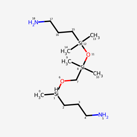 C[SiH](CCCN)OC[Si](C)(C)O[Si](C)(C)CCCN